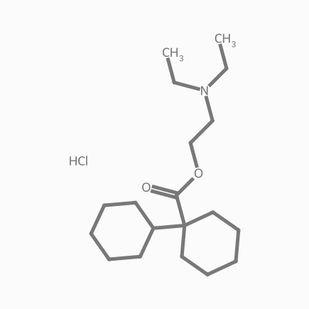 CCN(CC)CCOC(=O)C1(C2CCCCC2)CCCCC1.Cl